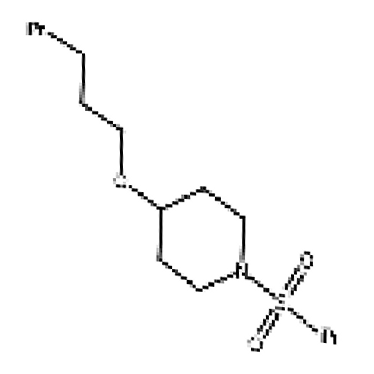 CC(C)CCCOC1CCN(S(=O)(=O)C(C)C)CC1